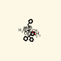 C[SiH](C)[C@]1(NC(=O)Cc2ccccc2)C(=O)N(C(C)(C)C)[C@@H]1SC(c1ccccc1)(c1ccccc1)c1ccccc1